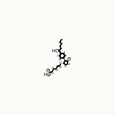 CCCCCC(O)c1ccc([C@H]2C(=O)CC[C@@H]2CC=CCCCC(=O)O)cc1